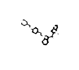 Cn1c(C(=O)c2cn(CCc3ccc(OCC4CCNCC4)cc3)c3ccccc23)cc2sccc21